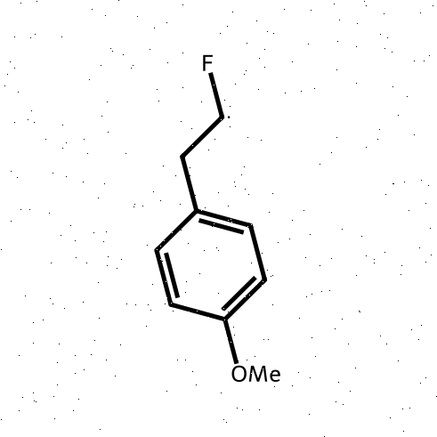 COc1ccc(C[CH]F)cc1